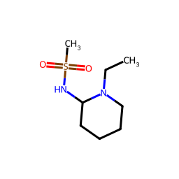 CCN1CCCCC1NS(C)(=O)=O